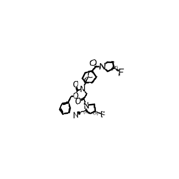 N#C[C@@H]1C[C@H](F)CN1C(=O)CN(C(=O)OCc1ccccc1)C12CCC(C(=O)N3CC[C@@H](F)C3)(CC1)CC2